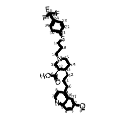 COc1ccc2nccc(CCC[C@@H]3CCN(CCCSc4ccc(C(F)(F)F)cc4)C[C@@H]3C(=O)O)c2c1